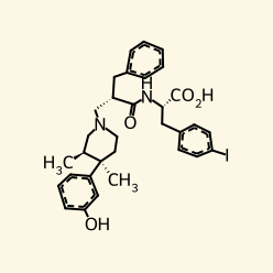 C[C@H]1CN(C[C@H](Cc2ccccc2)C(=O)N[C@@H](Cc2ccc(I)cc2)C(=O)O)CC[C@@]1(C)c1cccc(O)c1